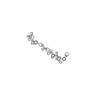 O=C1CCC(Nc2ccc(C3CCN(CC(=O)N4CCC5(CC4)CCN(c4cncc(Nc6ncc(Cl)c(-c7cccc(N8CCCCC8)c7)n6)c4)C5=O)CC3)cc2)C(=O)N1